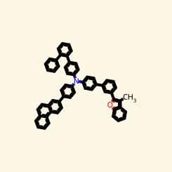 Cc1c(-c2cccc(-c3ccc(N(c4ccc(-c5ccc6c(ccc7ccccc76)c5)cc4)c4ccc(-c5ccccc5-c5ccccc5)cc4)cc3)c2)oc2ccccc12